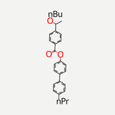 CCCCOC(C)c1ccc(C(=O)Oc2ccc(-c3ccc(CCC)cc3)cc2)cc1